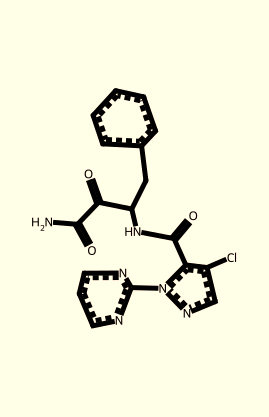 NC(=O)C(=O)C(Cc1ccccc1)NC(=O)c1c(Cl)cnn1-c1ncccn1